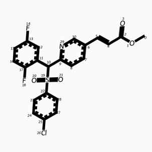 COC(=O)C=Cc1ccc(C(c2cc(F)ccc2F)S(=O)(=O)c2ccc(Cl)cc2)nc1